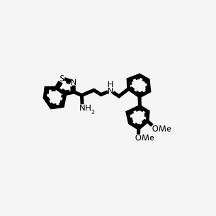 COc1ccc(-c2ccccc2CNCCC(N)c2nsc3ccccc23)cc1OC